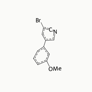 COc1cccc(-c2cncc(Br)c2)c1